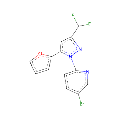 FC(F)c1cc(-c2ccco2)n(-c2ccc(Br)cn2)n1